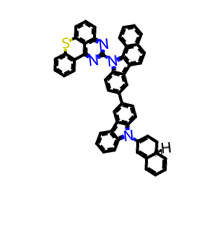 C1=CC2=CC(n3c4ccccc4c4cc(-c5ccc6c(c5)c5ccc7ccccc7c5n6-c5nc6c7c(cccc7n5)Sc5ccccc5-6)ccc43)=CC[C@@H]2C=C1